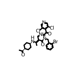 C/C(N[C@H]1CC[C@H](C(C)=O)CC1)=C(/C=N)C(=O)N(CC(=O)c1c(Cl)cncc1Cl)Cc1ccccc1Br